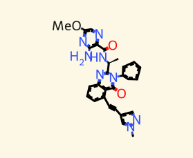 COc1cnc(C(=O)N[C@@H](C)c2nc3cccc(C#Cc4cnn(C)c4)c3c(=O)n2-c2ccccc2)c(N)n1